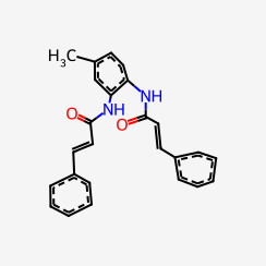 Cc1ccc(NC(=O)C=Cc2ccccc2)c(NC(=O)C=Cc2ccccc2)c1